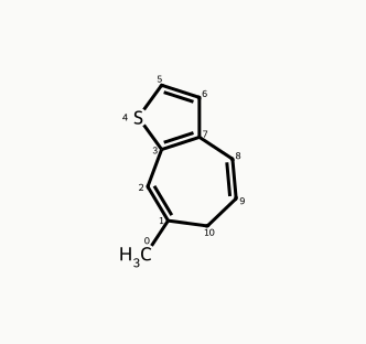 CC1=Cc2sccc2C=CC1